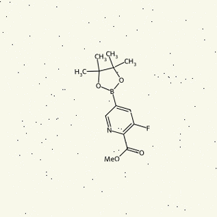 COC(=O)c1ncc(B2OC(C)(C)C(C)(C)O2)cc1F